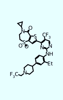 CCc1cc(C2CCN(CC(F)(F)F)CC2)ccc1Nc1ncc(C(F)(F)F)c(-c2cc3c(s2)C(=O)N(C2CC2)CCS3(=O)=O)n1